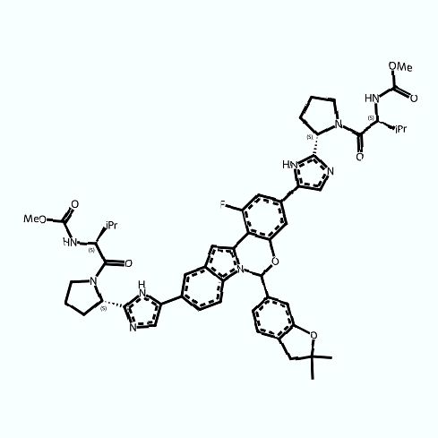 COC(=O)N[C@H](C(=O)N1CCC[C@H]1c1ncc(-c2cc(F)c3c(c2)OC(c2ccc4c(c2)OC(C)(C)C4)n2c-3cc3cc(-c4cnc([C@@H]5CCCN5C(=O)[C@@H](NC(=O)OC)C(C)C)[nH]4)ccc32)[nH]1)C(C)C